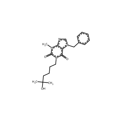 Cn1c(=O)n(CCCCC(C)(C)O)c(=O)c2c1ncn2Cc1ccccc1